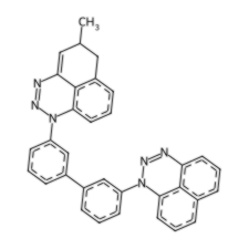 CC1C=C2N=NN(c3cccc(-c4cccc(N5N=Nc6cccc7cccc5c67)c4)c3)c3cccc(c32)C1